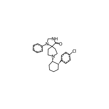 O=C1NCN(c2ccccc2)C12CCN([C@@H]1CCCC[C@@H]1c1ccc(Cl)cc1)CC2